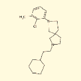 Cc1cccc(N2CCC3(CCN(CCC4CCCCC4)C3)C2)c1Cl